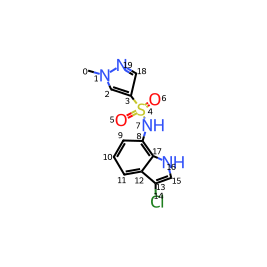 Cn1cc(S(=O)(=O)Nc2cccc3c(Cl)c[nH]c23)cn1